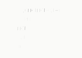 C.Cl.Cl.Cl.Cl.Cl.Cl.Cl.P